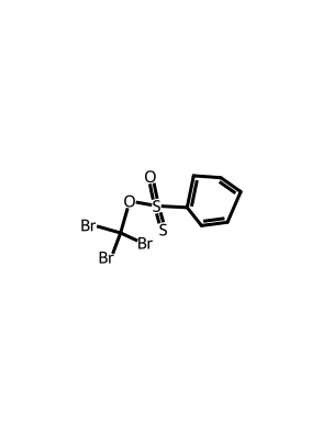 O=S(=S)(OC(Br)(Br)Br)c1ccccc1